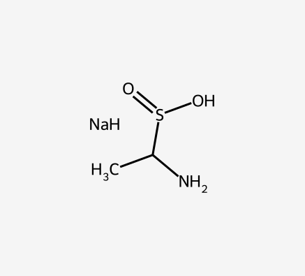 CC(N)S(=O)O.[NaH]